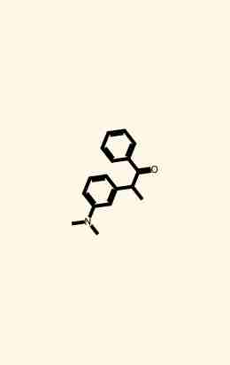 CC(C(=O)c1ccccc1)c1cccc(N(C)C)c1